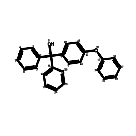 OC(c1ccccc1)(c1ccc(Oc2ccccc2)cc1)c1ccccn1